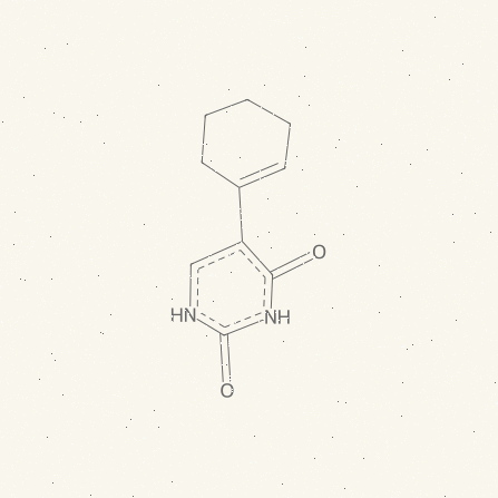 O=c1[nH]cc(C2=CCCCC2)c(=O)[nH]1